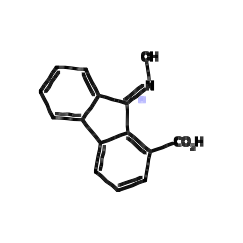 O=C(O)c1cccc2c1/C(=N/O)c1ccccc1-2